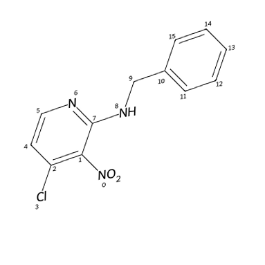 O=[N+]([O-])c1c(Cl)ccnc1NCc1ccccc1